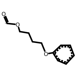 O=[C]OCCCCOc1ccccc1